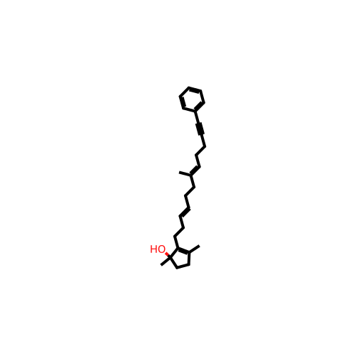 CC1=C(CC/C=C/CC/C(C)=C/CCC#Cc2ccccc2)C(C)(O)CC1